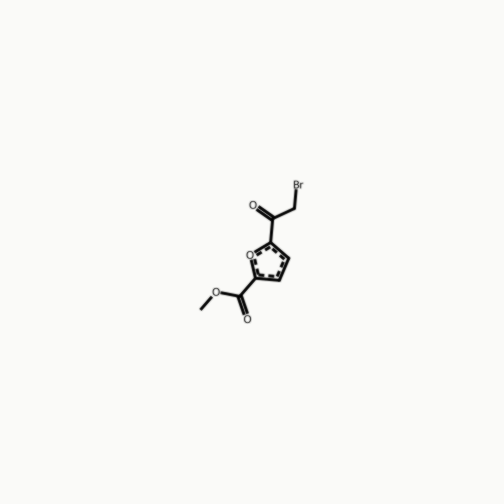 COC(=O)c1ccc(C(=O)CBr)o1